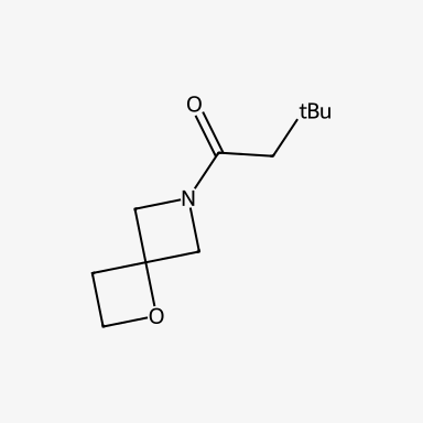 CC(C)(C)CC(=O)N1CC2(CCO2)C1